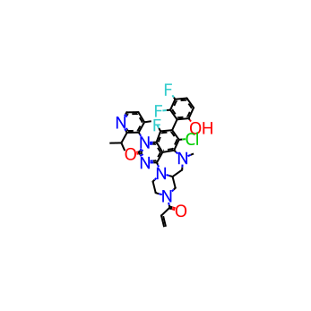 C=CC(=O)N1CCN2c3nc(=O)n(-c4c(C)ccnc4C(C)C)c4c(F)c(-c5c(O)ccc(F)c5F)c(Cl)c(c34)N(C)CC2C1